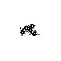 CCCC(c1ccc(C(CC)c2ccc(N)cc2C)cc1)(c1ccc(C(CC)c2ccc(N)cc2C)cc1)C1CCCCC1